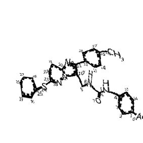 CC(=O)c1ccc(NC(=O)NCc2c(-c3ccc(C)cc3)nc3ccc(Sc4ccccc4)nn23)cc1